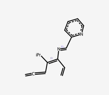 C=C=C/C(=C(C=C)/N=C/c1ccccn1)C(C)C